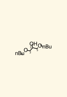 CCCCOCC(O)COCCCC